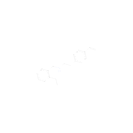 C=Cc1ccc(CCNCc2ccccc2CC)cc1